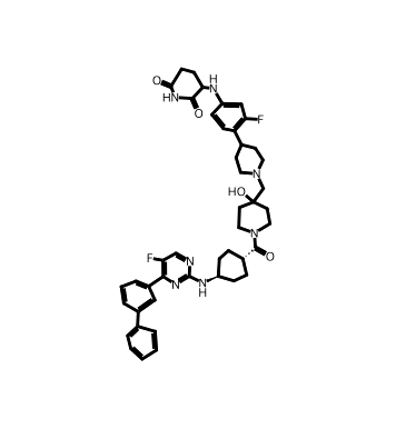 O=C1CCC(Nc2ccc(C3CCN(CC4(O)CCN(C(=O)[C@H]5CC[C@H](Nc6ncc(F)c(-c7cccc(-c8ccccc8)c7)n6)CC5)CC4)CC3)c(F)c2)C(=O)N1